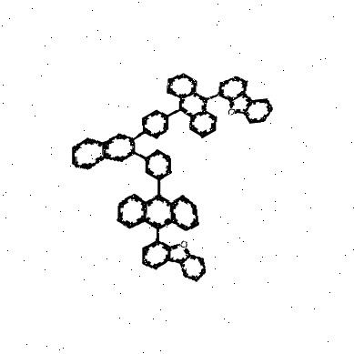 c1cc(-c2cc3ccccc3cc2-c2ccc(-c3c4ccccc4c(-c4cccc5c4oc4ccccc45)c4ccccc34)cc2)cc(-c2c3ccccc3c(-c3cccc4c3oc3ccccc34)c3ccccc23)c1